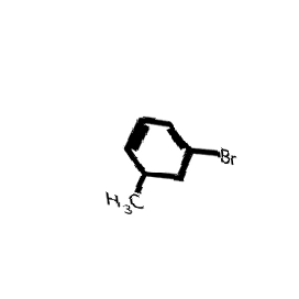 CC1C=CC=C(Br)C1